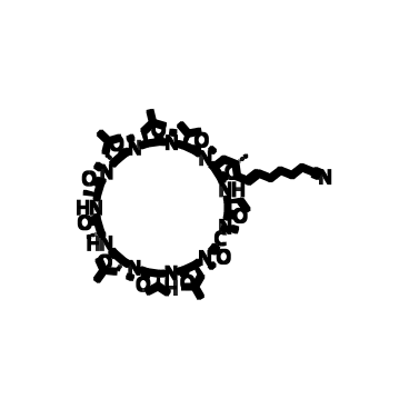 CC[C@@H]1NC(=O)C(C[C@H](C)C/C=C/CCCCC#N)N(C)C(=O)[C@H](C(C)C)N(C)C(=O)[C@H](CC(C)C)N(C)C(=O)[C@@H](CC(C)C)N(C)C(=O)[C@H](C)NC(=O)[C@@H](C)NC(=O)[C@@H](CC(C)C)N(C)C(=O)[C@@H](C(C)C)NC(=O)[C@H](CC(C)C)N(C)C(=O)CN(C)C1=O